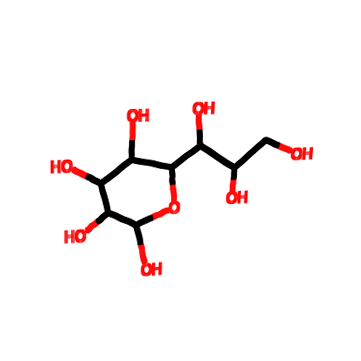 OCC(O)C(O)C1OC(O)C(O)C(O)C1O